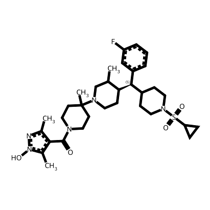 Cc1nn(O)c(C)c1C(=O)N1CCC(C)(N2CCC([C@@H](c3cccc(F)c3)C3CCN(S(=O)(=O)C4CC4)CC3)C(C)C2)CC1